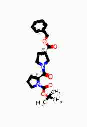 CC(C)(C)OC(=O)N1CCC[C@H]1C(=O)N1CC[C@H](C(=O)OCc2ccccc2)C1